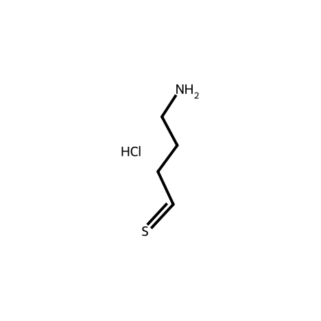 Cl.NCCCC=S